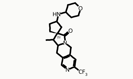 CC1C2Cc3cnc(C(F)(F)F)cc3CN2C(=O)[C@]12CCC(NC1CCOCC1)C2